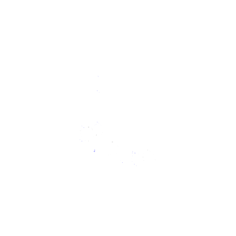 Cc1cccc2nc(Nc3ccc(-c4cn([C@H]5CC[C@@H](N6CCN(C)CC6)CC5)c5ncnc(N)c45)cc3)[nH]c12